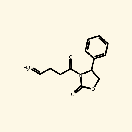 C=CCCC(=O)N1C(=O)OCC1c1ccccc1